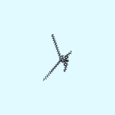 CCCCCCCCCCCCCCCCCCCCCC[CH2][Ni][CH2]CCCCCCCCCCCCCCCCCCCCCC.CCCCCc1ccc(C2=C(CC)C(CCCC)=C(c3ccc(CCCCC)cc3)[N+]2=[N-])cc1